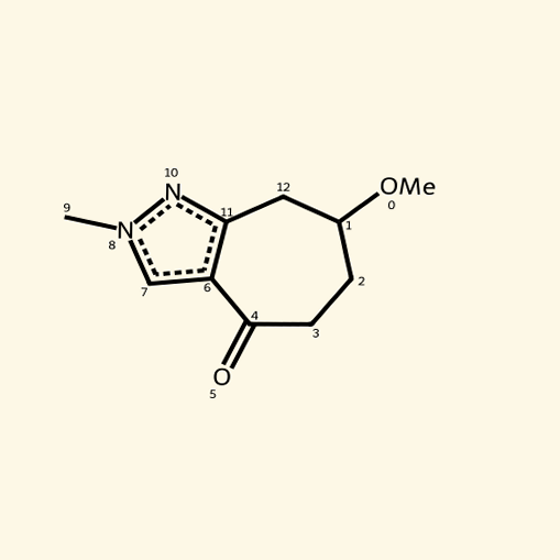 COC1CCC(=O)c2cn(C)nc2C1